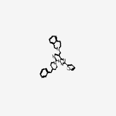 c1ccc(CC2CCN(c3ncc(CN4CCc5ccccc5C4)c4nc(-c5ccco5)nn34)CC2)cc1